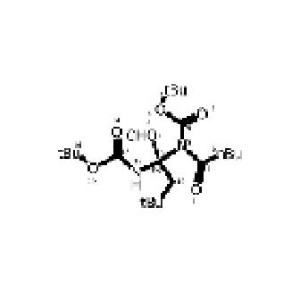 CCCCC(=O)N(C(=O)OC(C)(C)C)[C@]([C]=O)(CC(C)(C)C)NC(=O)OC(C)(C)C